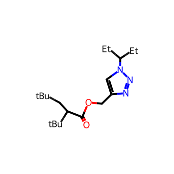 CCC(CC)n1cc(COC(=O)C(CC(C)(C)C)C(C)(C)C)nn1